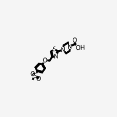 CS(=O)(=O)c1ccc(OCc2csc(N3CCN(C(=O)O)CC3)n2)cc1